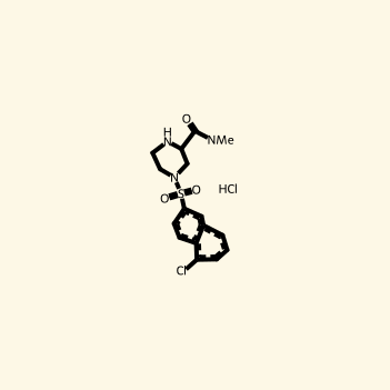 CNC(=O)C1CN(S(=O)(=O)c2ccc3c(Cl)cccc3c2)CCN1.Cl